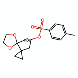 CCCCC1(C2(CCOS(=O)(=O)c3ccc(C)cc3)CC2)OCCO1